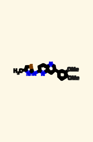 COc1ccc(-c2cnc3ccc(Nc4nc(C)cs4)nc3c2)cc1OC